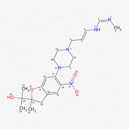 C/N=C\N/C=C/CN1CCN(c2cc3c(cc2[N+](=O)[O-])CC(C)(C(C)(C)O)O3)CC1